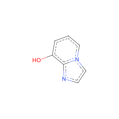 Oc1cccn2ccnc12